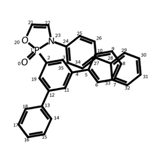 O=P1(c2cc(-c3ccccc3)cc(-c3ccccc3)c2)OC=CN1c1ccc(-c2ccccc2)cc1